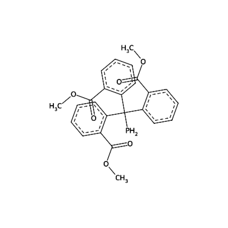 COC(=O)c1ccccc1C(P)(c1ccccc1C(=O)OC)c1ccccc1C(=O)OC